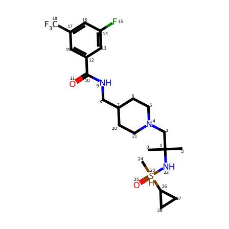 CC(C)(CN1CCC(CNC(=O)c2cc(F)cc(C(F)(F)F)c2)CC1)N[SH](C)(=O)C1CC1